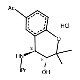 CC(=O)c1ccc2c(c1)[C@H](NC(C)C)[C@@H](O)C(C)(C)O2.Cl